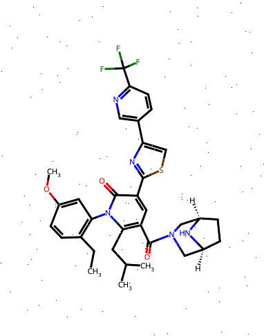 CCc1ccc(OC)cc1-n1c(CC(C)C)c(C(=O)N2C[C@H]3CC[C@@H](C2)N3)cc(-c2nc(-c3ccc(C(F)(F)F)nc3)cs2)c1=O